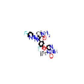 CC(C)n1c(=O)[nH]c2nccc(Oc3ccc(-c4nn(-c5ccc(F)cn5)c(C(F)(F)F)c4C(N)=O)cc3F)c21